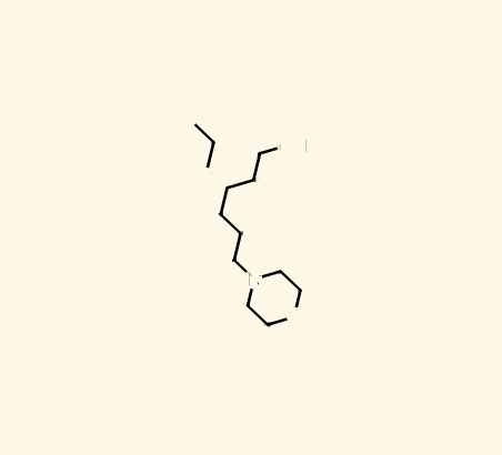 CCC[C@H](CCO)CCCN1CCSCC1